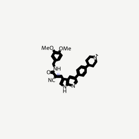 COc1ccc(CNC(=O)/C(C#N)=C/c2c[nH]c3ncc(-c4ccc(C5CCN(C)CC5)cc4)cc23)cc1OC